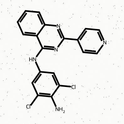 Nc1c(Cl)cc(Nc2nc(-c3ccncc3)nc3ccccc23)cc1Cl